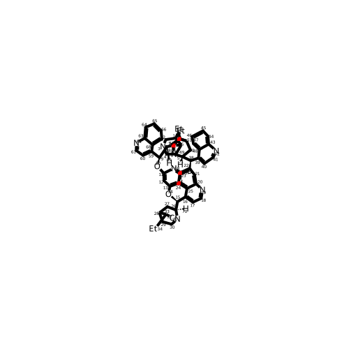 CCC1CN2CCC1C[C@@H]2[C@@H](Oc1cc(O[C@@H](c2ccnc3ccccc23)[C@@H]2CC3CCN2CC3CC)nc(O[C@H](c2ccnc3ccccc23)[C@H]2CC3CC[N@]2CC3CC)n1)c1ccnc2ccccc12